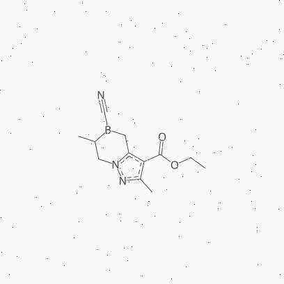 CCOC(=O)c1c(C)nn2c1CB(C#N)C(C)C2